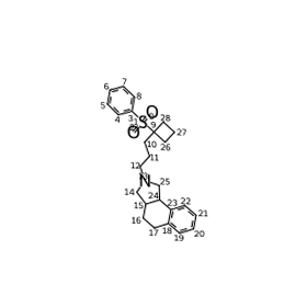 O=S(=O)(c1ccccc1)C1(CCCN2CC3CCc4ccccc4C3C2)CCC1